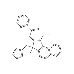 CCN1/C(=C\C(=O)c2ncccn2)C(C)(Cc2ccco2)c2ccc3ccccc3c21